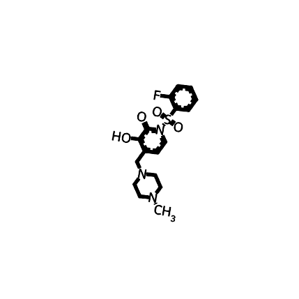 CN1CCN(Cc2ccn(S(=O)(=O)c3ccccc3F)c(=O)c2O)CC1